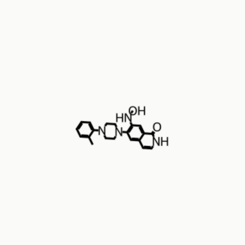 Cc1ccccc1N1CCN(c2cc3cc[nH]c(=O)c3cc2NO)CC1